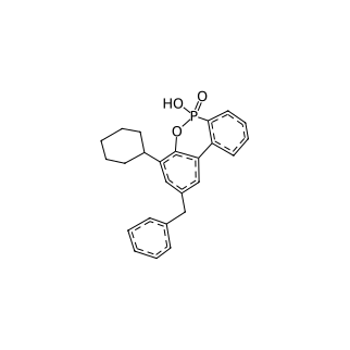 O=P1(O)Oc2c(cc(Cc3ccccc3)cc2C2CCCCC2)-c2ccccc21